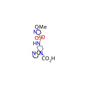 COc1ccc(S(=O)(=O)CNC2CCc3c(c4ncccc4n3CC(=O)O)C2)cn1